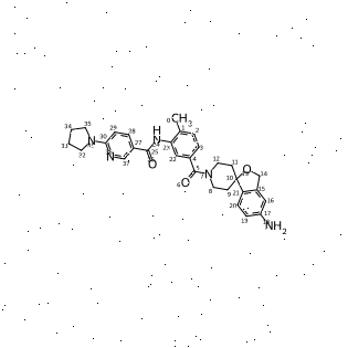 Cc1ccc(C(=O)N2CCC3(CC2)OCc2cc(N)ccc23)cc1NC(=O)c1ccc(N2CCCC2)nc1